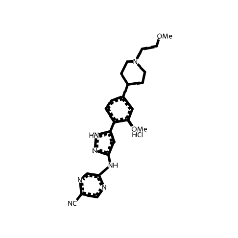 COCCN1CCC(c2ccc(-c3cc(Nc4cnc(C#N)cn4)n[nH]3)c(OC)c2)CC1.Cl